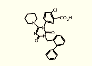 O=C(O)c1cc(-n2c(N3CCCCC3)nc(=O)n(Cc3ccccc3-c3ccccc3)c2=O)ccc1Cl